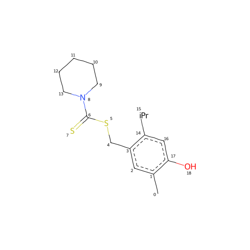 Cc1cc(CSC(=S)N2CCCCC2)c(C(C)C)cc1O